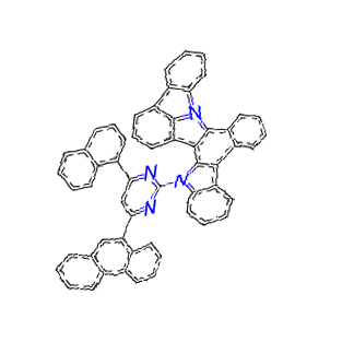 c1ccc2c(-c3cc(-c4cc5ccccc5c5ccccc45)nc(-n4c5ccccc5c5c6ccccc6c6c(c7cccc8c9ccccc9n6c87)c54)n3)cccc2c1